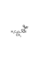 CC(C)OCc1cnc([N+](=O)[O-])o1